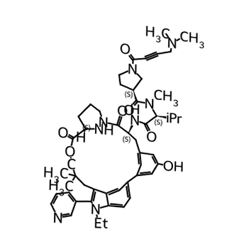 CCn1c(-c2cccnc2)c2c3cc(ccc31)-c1cc(O)cc(c1)C[C@H](NC(=O)[C@H](C(C)C)N(C)C(=O)[C@H]1CCN(C(=O)C#CCN(C)C)C1)C(=O)N1CCC[C@H](N1)C(=O)OCC(C)(C)C2